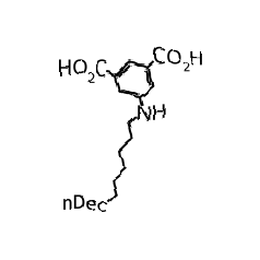 CCCCCCCCCCCCCCCCNc1cc(C(=O)O)cc(C(=O)O)c1